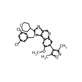 COc1cc2c(cc1-c1c(C)noc1C)ncc1nc(C3CCOCC3)n(Cc3cc(Cl)cc(Cl)c3)c12